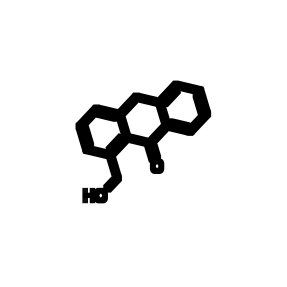 O=C1c2ccccc2Cc2cccc(CO)c21